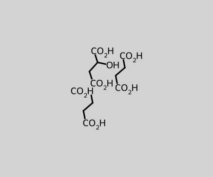 O=C(O)CC(O)C(=O)O.O=C(O)CCC(=O)O.O=C(O)CCC(=O)O